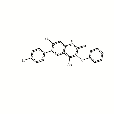 CCc1ccc(-c2cc3c(O)c(Oc4ccccc4)c(=O)[nH]c3cc2Cl)cc1